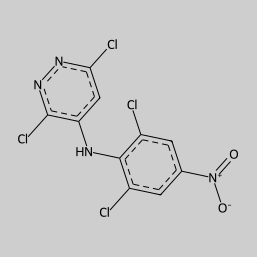 O=[N+]([O-])c1cc(Cl)c(Nc2cc(Cl)nnc2Cl)c(Cl)c1